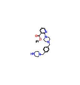 CC(C)OC(=O)c1cccnc1N1CCN(Cc2ccc(CN3CCNCC3)cc2)CC1